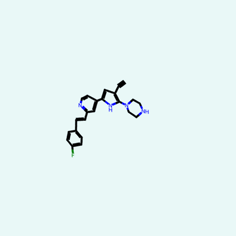 C#Cc1cc(-c2ccnc(/C=C/c3ccc(F)cc3)c2)[nH]c1N1CCNCC1